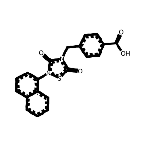 O=C(O)c1ccc(Cn2c(=O)sn(-c3cccc4ccccc34)c2=O)cc1